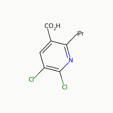 CC(C)c1nc(Cl)c(Cl)cc1C(=O)O